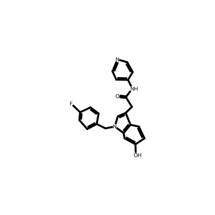 O=C(Cc1cn(Cc2ccc(F)cc2)c2cc(O)ccc12)Nc1ccncc1